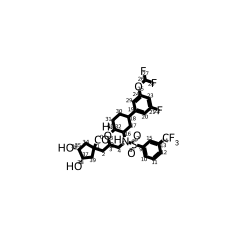 O=C(O)C1(CC2CN(S(=O)(=O)c3cccc(C(F)(F)F)c3)C3CC(c4cc(F)cc(OC(F)F)c4)CC[C@@H]3O2)C[C@@H](O)[C@@H](O)C1